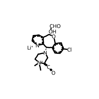 C[N+]1(C)CCN([C@H]2c3ccc(Cl)cc3OCc3cccnc32)CC1=C=O.O=CO.[Li+]